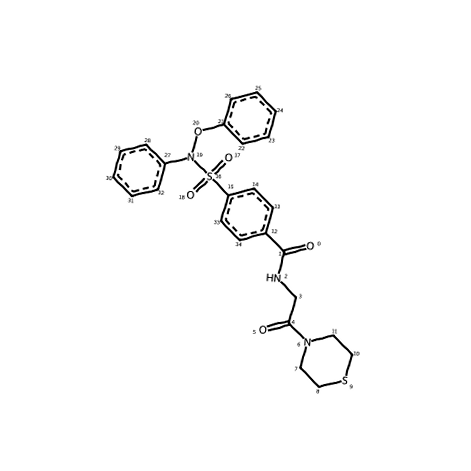 O=C(NCC(=O)N1CCSCC1)c1ccc(S(=O)(=O)N(Oc2ccccc2)c2ccccc2)cc1